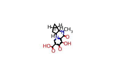 CN1C(=O)c2c(O)c(=O)c(C(=O)O)cn2[C@H]2C[C@@H]3C[C@@H]3[C@H]21